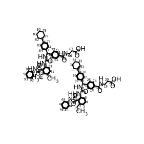 CCc1cccc(NC(=O)NC(c2ccc(C(=O)NCCC(=O)O)cc2)c2ccc(C3=CCCCC3)cc2)c1S(=O)(=O)Nc1ccccc1.Cc1ccc(NC(=O)NC(c2ccc(C(=O)NCCC(=O)O)cc2)c2ccc(C3CCCCC3)cc2)c(S(=O)(=O)Nc2ccccc2)c1C